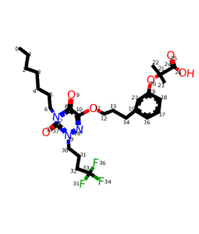 CCCCCCCn1c(=O)c(OCCCc2cccc(OC(C)(C)C(=O)O)c2)nn(CCCC(F)(F)F)c1=O